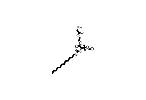 CCCCCCCCCCCCSC(=S)SC(C(=O)OCCOC(=O)CS)C(C)(C)OC=O